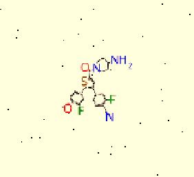 COc1ccc(-c2sc(C(=O)N3CCC(N)CC3)cc2-c2ccc(C#N)c(F)c2)cc1F